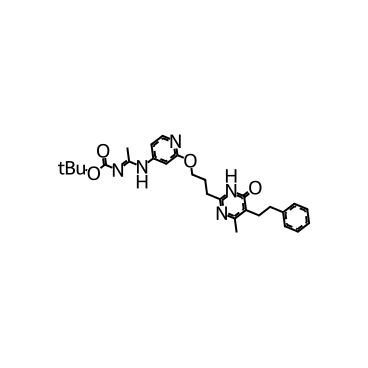 C/C(=N\C(=O)OC(C)(C)C)Nc1ccnc(OCCCc2nc(C)c(CCc3ccccc3)c(=O)[nH]2)c1